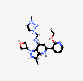 CCOc1ncccc1-c1cc(NCN2C=CN(C)N2)c2c(n1)c(C)nn2C1COC1